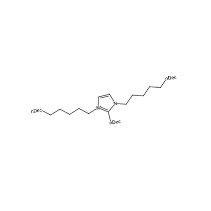 CCCCCCCCCCCCCCCn1cc[n+](CCCCCCCCCCCCCCC)c1CCCCCCCCCC